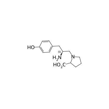 N[C@@H](Cc1ccc(O)cc1)CN1CCCC1C(=O)O